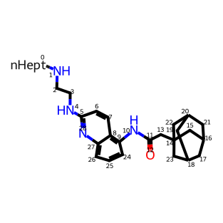 CCCCCCCNCCNc1ccc2c(NC(=O)CC34CC5CC(CC(C5)C3)C4)cccc2n1